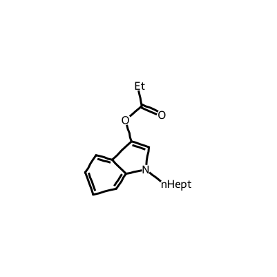 CCCCCCCn1cc(OC(=O)CC)c2ccccc21